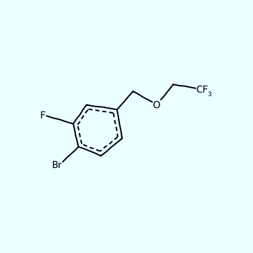 Fc1cc(COCC(F)(F)F)ccc1Br